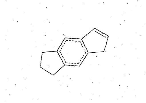 [CH]1C=Cc2cc3c(cc21)CCC3